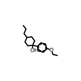 CCCC1CCC(O)(c2ccc(OCC)cc2)CC1